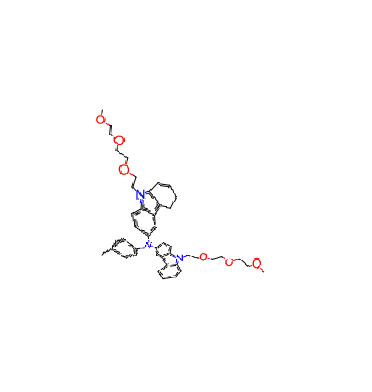 COCCOCCOCCn1c2c(c3cc(N(c4ccc(C)cc4)c4ccc5c(c4)c4ccccc4n5CCOCCOCCOC)ccc31)CCC=C2